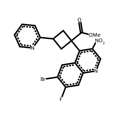 COC(=O)C1(c2c([N+](=O)[O-])cnc3cc(F)c(Br)cc23)CC(c2ccccn2)C1